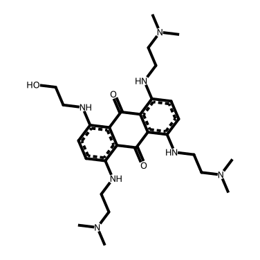 CN(C)CCNc1ccc(NCCO)c2c1C(=O)c1c(NCCN(C)C)ccc(NCCN(C)C)c1C2=O